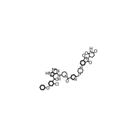 O=C1CCC(N2C(=O)c3ccc(N4CCN(Cc5ccc(C(=O)N6CCCC(Nc7ncnc8[nH]cc(C(=O)c9ccc(Oc%10ccccc%10)cc9Cl)c78)C6)cn5)CC4)cc3C2=O)C(=O)N1